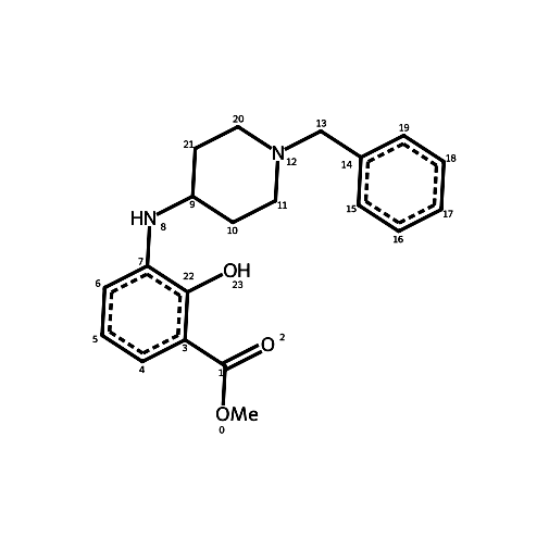 COC(=O)c1cccc(NC2CCN(Cc3ccccc3)CC2)c1O